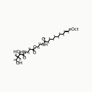 CCCCCCCCC=CCCCCCCCC(=O)NCCOC(=O)CCNC(=O)C(O)C(C)(C)CO